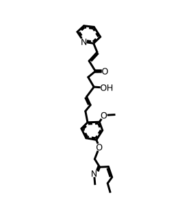 CC/C=C\C(COc1ccc(C/C=C/C(O)CC(=O)/C=C/c2ccccn2)c(OC)c1)=N/C